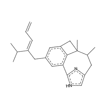 C=CC=C(Cc1cc2c3c(c1)-c1nc(c[nH]1)CC(C)C3(C)C2)C(C)C